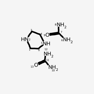 C1CNCCN1.NC(N)=O.NC(N)=O